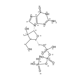 CC1(O)C(CO)[C@@H](COP(=O)(O)OP(=O)(O)OP(=O)(O)O)O[C@H]1n1cnc2c(=O)[nH]c(N)nc21